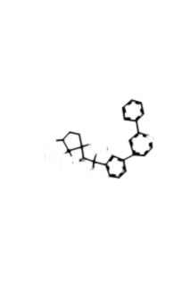 BC(B)(c1cccc(-c2ccnc(-c3ccccc3)c2)c1)C(C)C1(C)CCC(C)C1(C)C